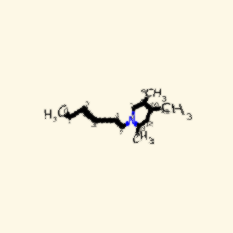 CCCCCCN1CC(C)C(C)CC1C